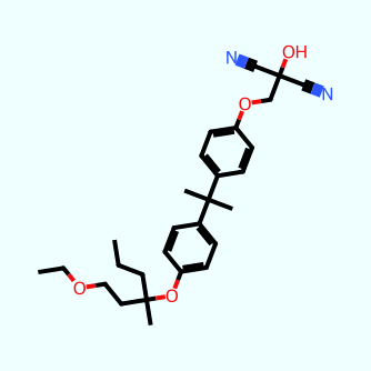 CCCC(C)(CCOCC)Oc1ccc(C(C)(C)c2ccc(OCC(O)(C#N)C#N)cc2)cc1